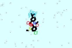 CCSc1cc(Cl)ccc1C(=O)N(C(C)=O)c1ccc(C(F)(C(F)(F)F)C(F)(F)F)cc1C(=O)OC